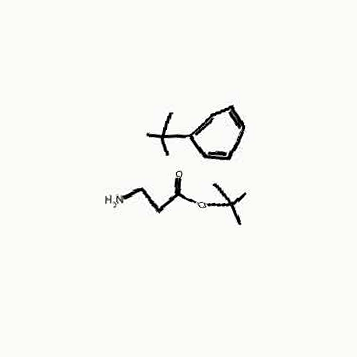 CC(C)(C)OC(=O)CCN.CC(C)(C)c1ccccc1